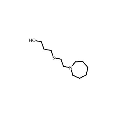 OCCCSCCN1CCCCCC1